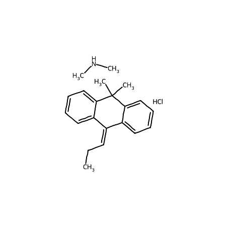 CCC=C1c2ccccc2C(C)(C)c2ccccc21.CNC.Cl